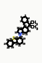 CC1(C)c2ccccc2-c2c1ccc1c2ccn1-c1cccc2c1sc1ccccc12